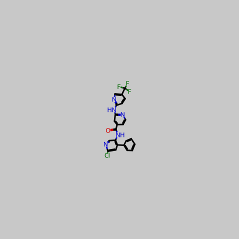 O=C(Nc1cnc(Cl)cc1-c1ccccc1)c1ccnc(Nc2ccc(C(F)(F)F)cn2)c1